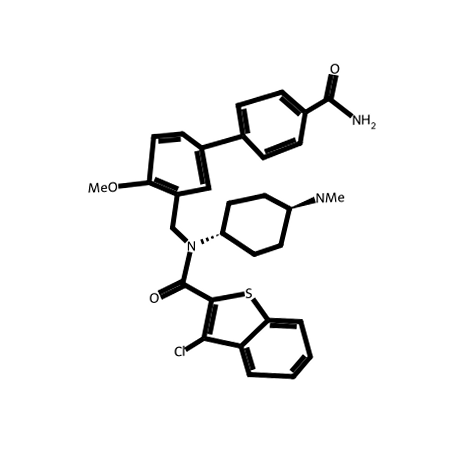 CN[C@H]1CC[C@H](N(Cc2cc(-c3ccc(C(N)=O)cc3)ccc2OC)C(=O)c2sc3ccccc3c2Cl)CC1